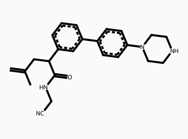 C=C(C)CC(C(=O)NCC#N)c1cccc(-c2ccc(N3CCNCC3)cc2)c1